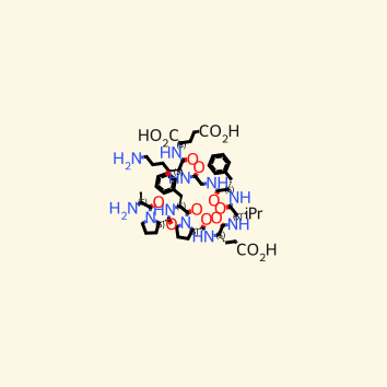 CC(C)[C@H](NC(=O)[C@H](CCC(=O)O)NC(=O)[C@@H]1CCCN1C(=O)[C@H](Cc1ccccc1)NC(=O)[C@@H]1CCCN1C(=O)[C@H](C)N)C(=O)N[C@@H](Cc1ccccc1)C(=O)NCC(=O)N[C@@H](CCCCN)C(=O)N[C@@H](CCC(=O)O)C(=O)O